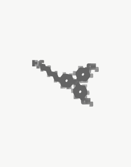 C=CCCCCc1ccc(N(c2ccc(C)cc2)c2ccc(C)cc2)cc1